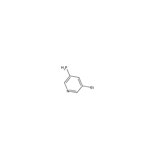 CCc1cncc(P)c1